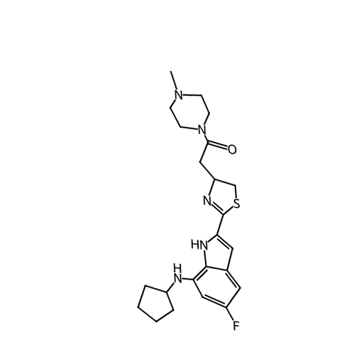 CN1CCN(C(=O)CC2CSC(c3cc4cc(F)cc(NC5CCCC5)c4[nH]3)=N2)CC1